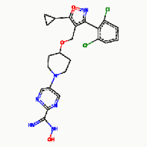 N=C(NO)c1ncc(N2CCC(OCc3c(-c4c(Cl)cccc4Cl)noc3C3CC3)CC2)cn1